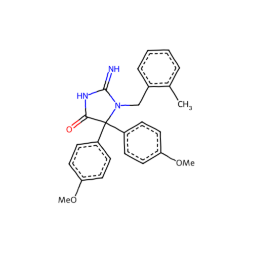 COc1ccc(C2(c3ccc(OC)cc3)C(=O)NC(=N)N2Cc2ccccc2C)cc1